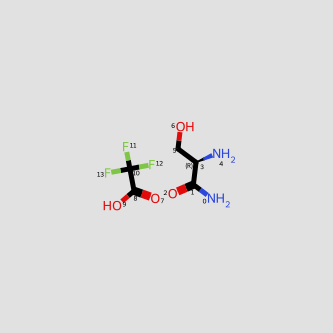 NC(=O)[C@H](N)CO.O=C(O)C(F)(F)F